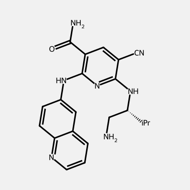 CC(C)[C@H](CN)Nc1nc(Nc2ccc3ncccc3c2)c(C(N)=O)cc1C#N